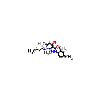 CCCCCn1c(C)cc(=O)c(C(=O)Nc2ccc(C)cc2C)c1C